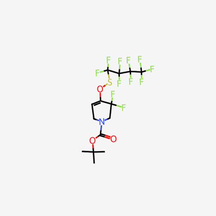 CC(C)(C)OC(=O)N1CC=C(OSC(F)(F)C(F)(F)C(F)(F)C(F)(F)F)C(F)(F)C1